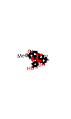 COC1=CC(=O)[C@@]2(c3cc(=O)c4c(O)cc(O)cc4o3)[C@H](C[C@]3(C)[C@@H](C(=O)O)CC=C4[C@H]3CCCC4(C)C)C(C)=CC[C@H]2C1=O